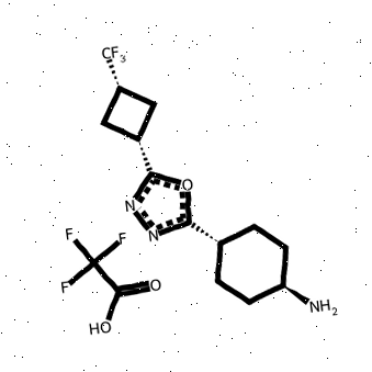 N[C@H]1CC[C@H](c2nnc([C@H]3C[C@@H](C(F)(F)F)C3)o2)CC1.O=C(O)C(F)(F)F